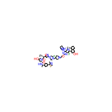 CCc1cccc2cc(O)cc(-c3ncc4c(N5CC6CCC(C5)N6)nc(OCCN5CCC(F)(CN6CCN(c7cc(C(C(=O)N8C[C@H](O)C[C@H]8C(=O)NC(C)c8ccc(-c9scnc9C)cc8)C(C)C)on7)C[C@H]6C)CC5)nc4c3F)c12